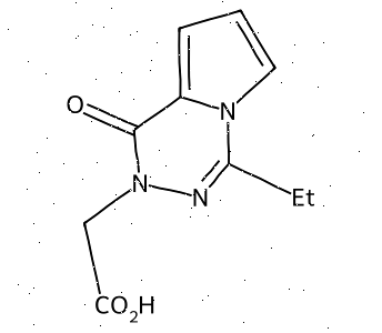 CCc1nn(CC(=O)O)c(=O)c2cccn12